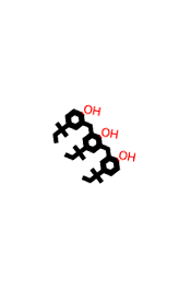 CCC(C)(C)c1ccc(O)c(Cc2cc(C(C)(C)CC)cc(Cc3cc(C(C)(C)CC)ccc3O)c2O)c1